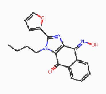 CCCCn1c(-c2ccco2)nc2c1C(=O)c1ccccc1C2=NO